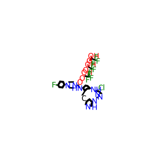 O=C(Nc1ccc2cc1CCc1cncc(c1)Nc1ncc(Cl)c(n1)N2)N1CCN(c2ccc(F)cc2)CC1.O=C(O)C(F)(F)F.O=C(O)C(F)(F)F.O=C(O)C(F)(F)F